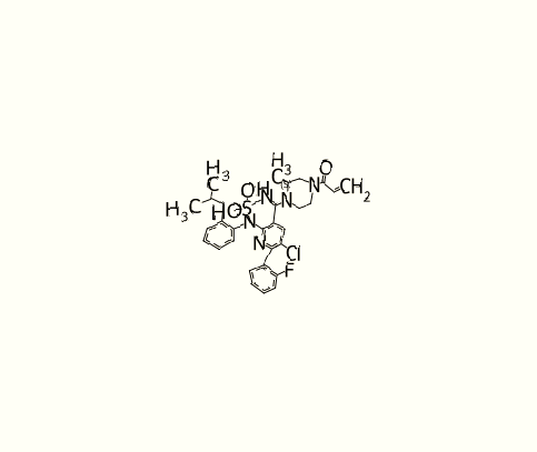 C=CC(=O)N1CCN(C2=NS(O)(O)N(c3ccccc3CC(C)C)c3nc(-c4ccccc4F)c(Cl)cc32)[C@@H](C)C1